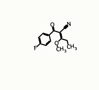 CCC(OC)=C(C#N)C(=O)c1ccc(F)cc1